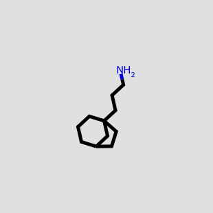 NCCCC12CCCC(CC1)C2